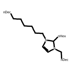 CCCCCCCCCCCCCCCCN1C=CN(CCCCCCCCCCC)C1CCCCCC